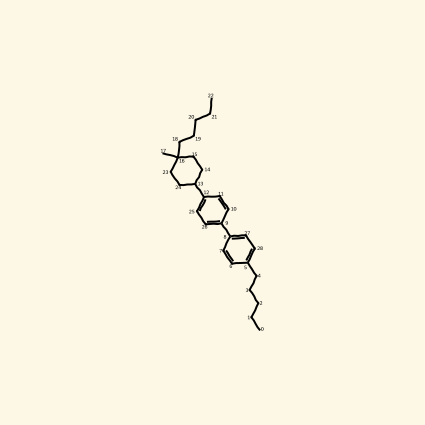 CCCCCc1ccc(-c2ccc(C3CCC(C)(CCCCC)CC3)cc2)cc1